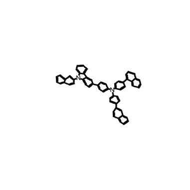 c1ccc2cc(-c3ccc(N(c4ccc(-c5ccc6c(c5)c5ccccc5n6-c5ccc6ccccc6c5)cc4)c4ccc(-c5cccc6ccccc56)cc4)cc3)ccc2c1